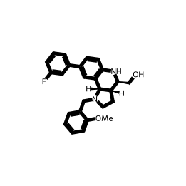 COc1ccccc1CN1CC[C@H]2[C@H](CO)Nc3ccc(-c4cccc(F)c4)cc3[C@H]21